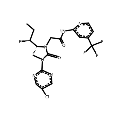 CC[C@H](F)[C@H]1CN(c2ncc(Cl)cn2)C(=O)N1CC(=O)Nc1cc(C(F)(F)F)ccn1